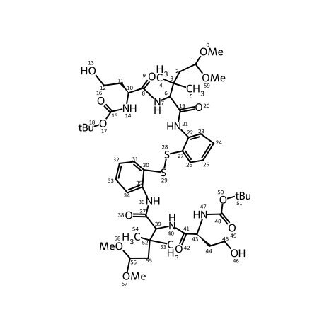 COC(CC(C)(C)C(NC(=O)[C@H](CCO)NC(=O)OC(C)(C)C)C(=O)Nc1ccccc1SSc1ccccc1NC(=O)C(NC(=O)[C@H](CCO)NC(=O)OC(C)(C)C)C(C)(C)CC(OC)OC)OC